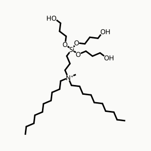 CCCCCCCCCC[N+](C)(CCCCCCCCCC)CCC[Si](OCCCO)(OCCCO)OCCCO